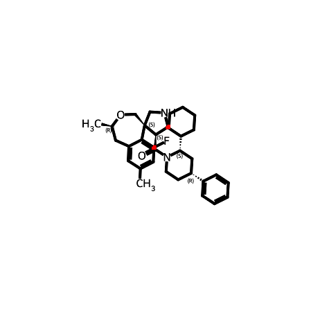 Cc1cc(F)c2c(c1)C[C@@H](C)OC[C@]21CNC[C@H]1C(=O)N1CC[C@@H](c2ccccc2)C[C@H]1C1CCCCC1